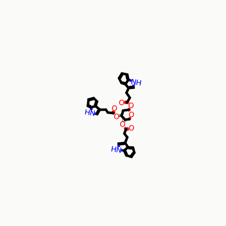 O=C(CCc1c[nH]c2ccccc12)OC1C[C@@H](OC(=O)CCc2c[nH]c3ccccc23)[C@@H](OC(=O)CCc2c[nH]c3ccccc23)CO1